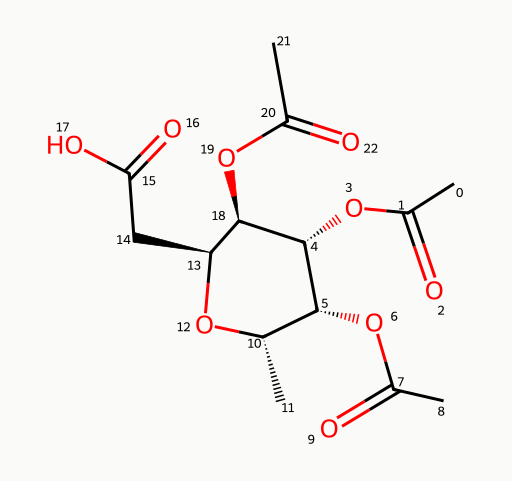 CC(=O)O[C@@H]1[C@H](OC(C)=O)[C@H](C)O[C@@H](CC(=O)O)[C@H]1OC(C)=O